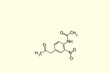 CC(=O)Cc1ccc(NC(C)=O)c([N+](=O)[O-])c1